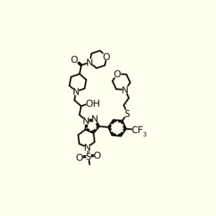 CS(=O)(=O)N1CCc2c(c(-c3ccc(C(F)(F)F)c(SCCN4CCOCC4)c3)nn2CC(O)CN2CCC(C(=O)N3CCOCC3)CC2)C1